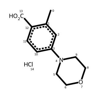 Cc1cc(N2CCOCC2)ccc1C(=O)O.Cl